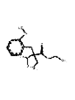 CCOC(=O)C(CC)(Cc1ccccc1OC)C(C)C